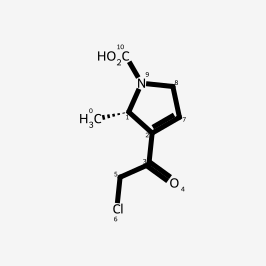 C[C@H]1C(C(=O)CCl)=CCN1C(=O)O